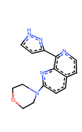 c1cc2ccc(N3CCOCC3)nc2c(-c2cc[nH]n2)n1